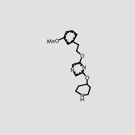 COc1cccc(CCOc2cncc(OC3CCNCC3)n2)c1